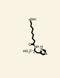 CCCCCCCCCCCCCCCCCC(=O)N[C@H](Cc1cnc[nH]1)C(=O)O